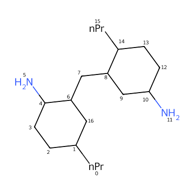 CCCC1CCC(N)C(CC2CC(N)CCC2CCC)C1